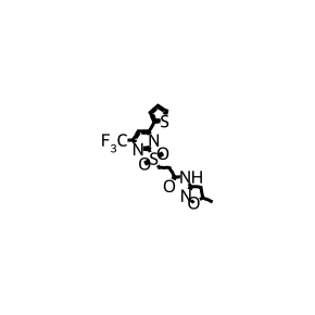 CC1CC(NC(=O)CCS(=O)(=O)c2nc(-c3cccs3)cc(C(F)(F)F)n2)=NO1